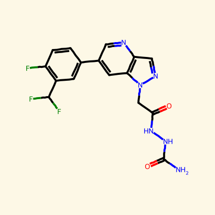 NC(=O)NNC(=O)Cn1ncc2ncc(-c3ccc(F)c(C(F)F)c3)cc21